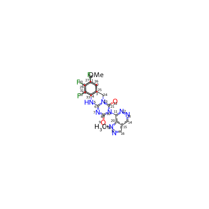 COc1ccc(Nc2nc(=O)n(-c3nncc4cnn(C)c34)c(=O)n2Cc2cc(F)c(F)c(F)c2)cc1